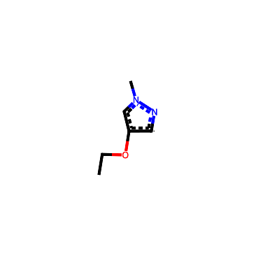 CCOc1[c]nn(C)c1